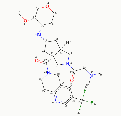 CO[C@@H]1COCC[C@@H]1N[C@@H]1C[C@H]2CN(C(=O)CN(C)C)C[C@@]2(C(=O)N2CCc3ncc(C(F)(F)F)cc3C2)C1